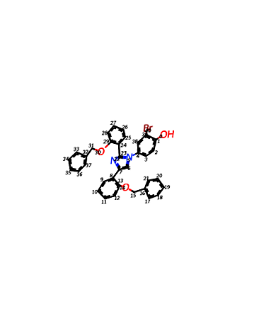 Oc1ccc(-n2cc(-c3ccccc3OCc3ccccc3)nc2-c2ccccc2OCc2ccccc2)cc1Br